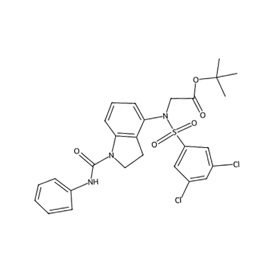 CC(C)(C)OC(=O)CN(c1cccc2c1CCN2C(=O)Nc1ccccc1)S(=O)(=O)c1cc(Cl)cc(Cl)c1